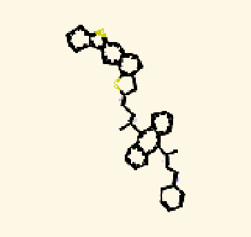 C/C(=C\C=C1\C=CC=CC1)c1c2ccccc2c(/C(C)=C/C=C2\Cc3ccc4cc5sc6ccccc6c5cc4c3S2)c2ccccc12